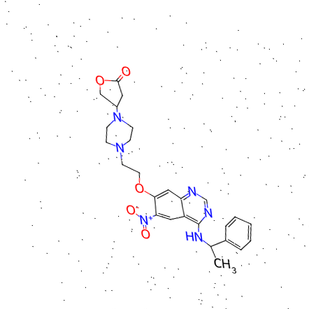 CC(Nc1ncnc2cc(OCCN3CCN(C4COC(=O)C4)CC3)c([N+](=O)[O-])cc12)c1ccccc1